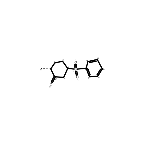 C[C@@H]1CCC(S(=O)(=O)c2ccccc2)CC1=O